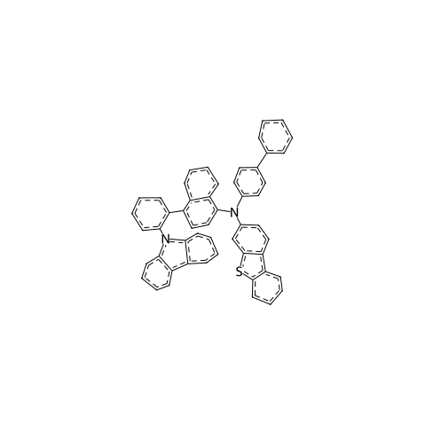 c1ccc(-c2ccc(N(c3ccc4c(c3)sc3ccccc34)c3ccc(-c4ccccc4-n4c5ccccc5c5ccccc54)c4ccccc34)cc2)cc1